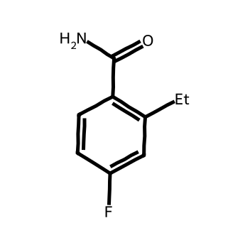 CCc1cc(F)ccc1C(N)=O